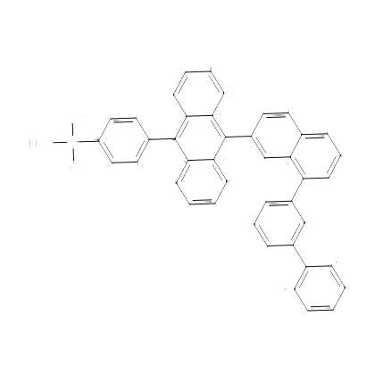 C[Si](C)(C)c1ccc(-c2c3ccccc3c(-c3ccc4cccc(-c5cccc(-c6ccccc6)c5)c4c3)c3ccccc23)cc1